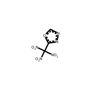 O=[N+]([O-])C(c1nnco1)([N+](=O)[O-])[N+](=O)[O-]